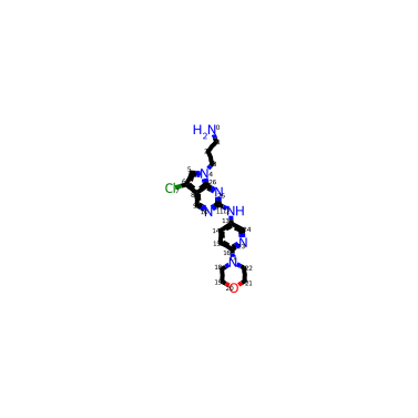 NCCCn1cc(Cl)c2cnc(Nc3ccc(N4CCOCC4)nc3)nc21